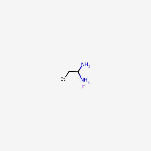 CCCC(N)N.[I+]